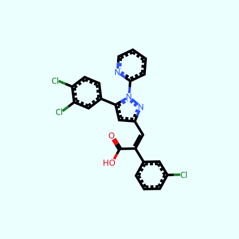 O=C(O)C(=Cc1cc(-c2ccc(Cl)c(Cl)c2)n(-c2ccccn2)n1)c1cccc(Cl)c1